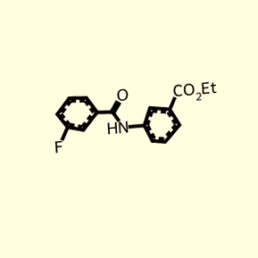 CCOC(=O)c1cccc(NC(=O)c2cccc(F)c2)c1